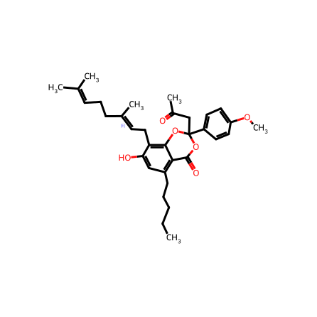 CCCCCc1cc(O)c(C/C=C(\C)CCC=C(C)C)c2c1C(=O)OC(CC(C)=O)(c1ccc(OC)cc1)O2